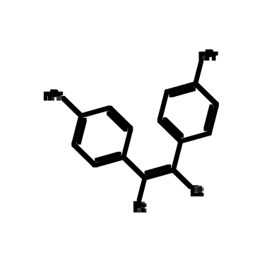 CCCc1ccc(C(CC)=C(CC)c2ccc(CCC)cc2)cc1